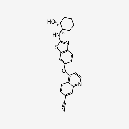 N#Cc1ccc2c(Oc3ccc4nc(N[C@@H]5CCCC[C@H]5O)sc4c3)ccnc2c1